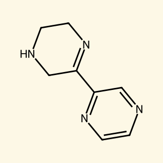 c1cnc(C2=NCCNC2)cn1